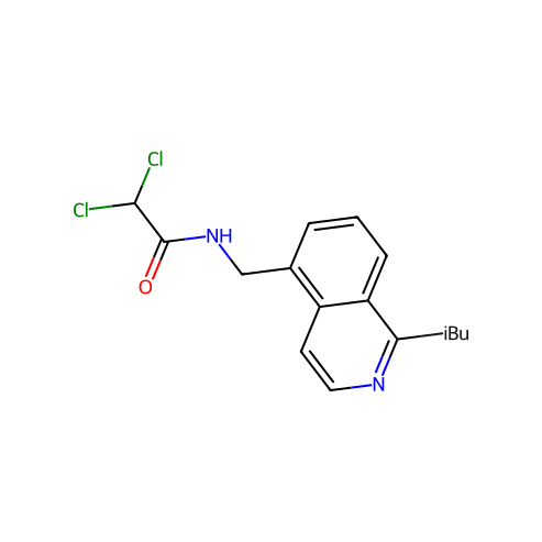 CCC(C)c1nccc2c(CNC(=O)C(Cl)Cl)cccc12